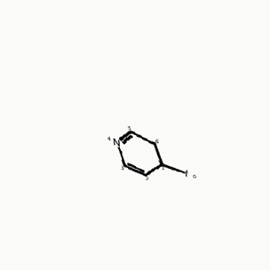 IC1C=CN=CC1